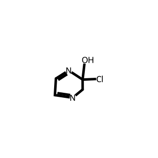 OC1(Cl)CN=CC=N1